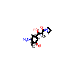 N#C/C(C(=O)N1CCC1)=C(/O)c1cc(N)c(N=O)c(O)c1